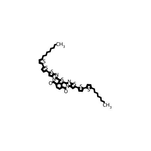 CCCCCCCCc1ccc(-c2ccc(-c3cc4c(nc5c6sc7c8c(ccc(c(=O)n45)c68)c(=O)n4c5cc(-c6ccc(-c8ccc(CCCCCCCC)s8)s6)sc5nc74)s3)s2)s1